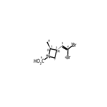 C[C@H]1[C@H](C=C(Br)Br)CN1C(=O)O